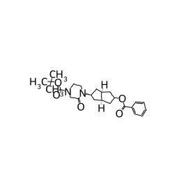 CC(C)(C)OC(=O)N1CCN([C@H]2C[C@H]3CC(OC(=O)c4ccccc4)C[C@H]3C2)C(=O)C1